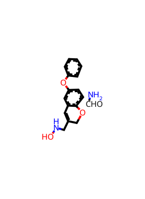 NC=O.ONCC1=Cc2cc(Oc3ccccc3)ccc2OC1